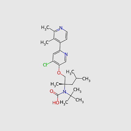 Cc1nccc(-c2cc(Cl)c(OC[C@](C)(CC(C)C)N(C(=O)O)C(C)(C)C)cn2)c1C